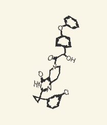 O=C(C(O)c1ccc(Oc2ccccc2)cc1)N1CCCc2nc(C3(c4cccc(Cl)c4)CC3)[nH]c(=O)c2C1